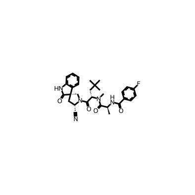 C[C@H](NC(=O)c1ccc(F)cc1)C(=O)N(C)[C@@H](CC(C)(C)C)C(=O)N1C[C@]2(C[C@H]1C#N)C(=O)Nc1ccccc12